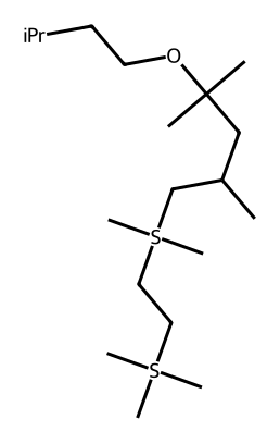 CC(C)CCOC(C)(C)CC(C)CS(C)(C)CCS(C)(C)C